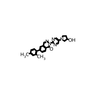 Cc1ccc(-c2ccc3c(=O)n(-c4ncc(N5CCC(O)C5)cn4)ncc3c2)c(C)c1